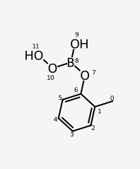 Cc1ccccc1OB(O)OO